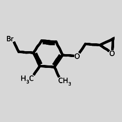 Cc1c(CBr)ccc(OCC2CO2)c1C